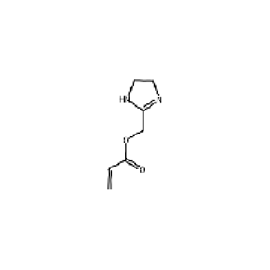 C=CC(=O)OCC1=NCCN1